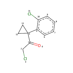 O=C(CCl)C1(c2ccccc2Cl)CC1